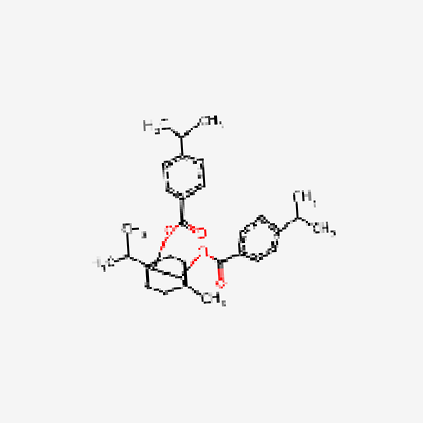 CC(C)c1ccc(C(=O)OC2C(OC(=O)c3ccc(C(C)C)cc3)C3(C(C)C)CCC2(C)CC3)cc1